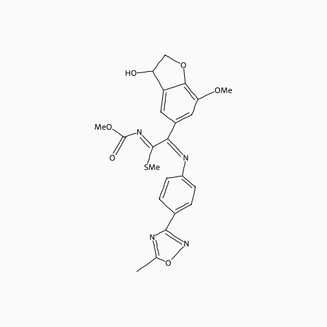 COC(=O)N=C(SC)C(=Nc1ccc(-c2noc(C)n2)cc1)c1cc(OC)c2c(c1)C(O)CO2